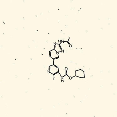 CC(=O)Nc1nc2ccc(-c3cnc(C)c(NC(=O)OC4CCCCC4)c3)cn2n1